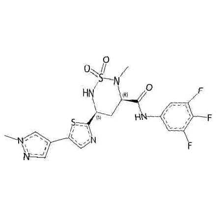 CN1[C@@H](C(=O)Nc2cc(F)c(F)c(F)c2)C[C@@H](c2ncc(-c3cnn(C)c3)s2)NS1(=O)=O